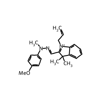 C=CC[N+]1=C(/C=N/N(C)c2ccc(OC)cc2)C(C)(C)c2ccccc21